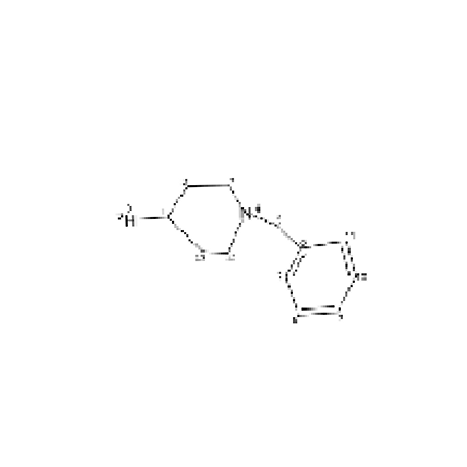 [2H]C1CCN(Cc2ccccc2)CC1